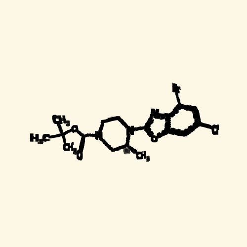 C[C@H]1CN(C(=O)OC(C)(C)C)CCN1c1nc2c(Br)cc(Cl)cc2o1